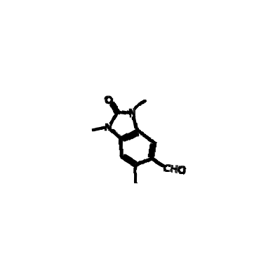 Cc1cc2c(cc1C=O)n(C)c(=O)n2C